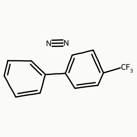 FC(F)(F)c1ccc(-c2ccccc2)cc1.N#N